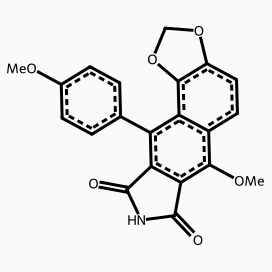 COc1ccc(-c2c3c(c(OC)c4ccc5c(c24)OCO5)C(=O)NC3=O)cc1